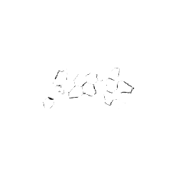 CC1(C)c2ccccc2-c2c(N(c3ccccc3)c3ccc4ccc5c(N(c6ccccc6)c6cnccn6)ccc6ccc3c4c65)cccc21